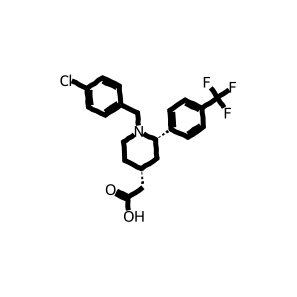 O=C(O)C[C@@H]1CCN(Cc2ccc(Cl)cc2)[C@H](c2ccc(C(F)(F)F)cc2)C1